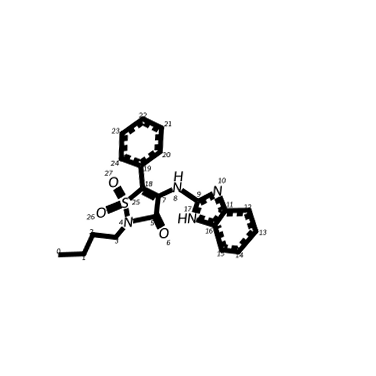 CCCCN1C(=O)C(Nc2nc3ccccc3[nH]2)=C(c2ccccc2)S1(=O)=O